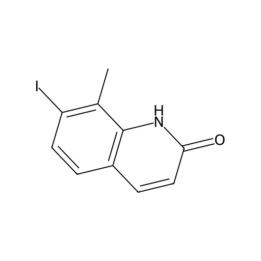 Cc1c(I)ccc2ccc(=O)[nH]c12